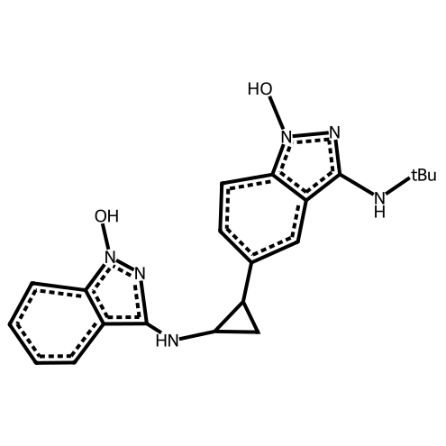 CC(C)(C)Nc1nn(O)c2ccc(C3CC3Nc3nn(O)c4ccccc34)cc12